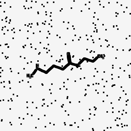 CCCOC(=O)CCCNC